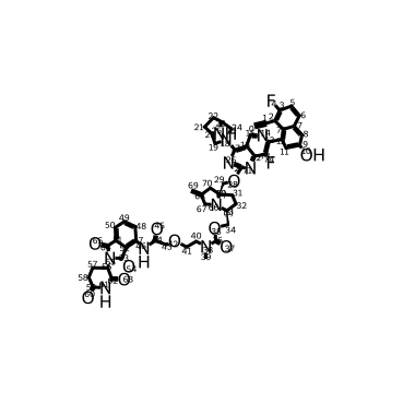 C#Cc1c(F)ccc2cc(O)cc(-c3ncc4c(N5CC6CCC(C5)N6)nc(OC[C@@]56CC[C@@H](COC(=O)N(C)CCOCC(=O)Nc7cccc8c7C(=O)N(C7CCC(=O)NC7=O)C8=O)N5CC(=C)C6)nc4c3F)c12